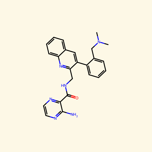 CN(C)Cc1ccccc1-c1cc2ccccc2nc1CNC(=O)c1nccnc1N